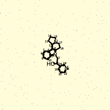 OC(Cn1c2c(c3ccccc31)C1CCCN1CC2)c1cccnc1